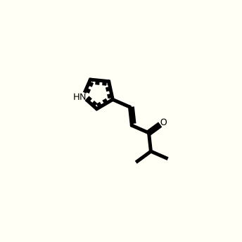 CC(C)C(=O)C=Cc1cc[nH]c1